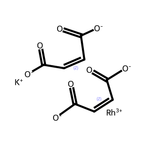 O=C([O-])/C=C\C(=O)[O-].O=C([O-])/C=C\C(=O)[O-].[K+].[Rh+3]